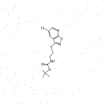 CC(C)(C)OC(=O)NCCSc1noc2ncc(Cl)cc12